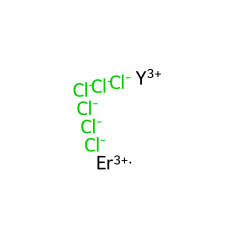 [Cl-].[Cl-].[Cl-].[Cl-].[Cl-].[Cl-].[Er+3].[Y+3]